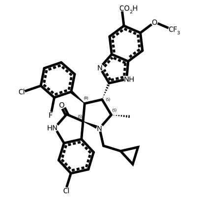 C[C@H]1[C@@H](c2nc3cc(C(=O)O)c(OC(F)(F)F)cc3[nH]2)[C@H](c2cccc(Cl)c2F)[C@]2(C(=O)Nc3cc(Cl)ccc32)N1CC1CC1